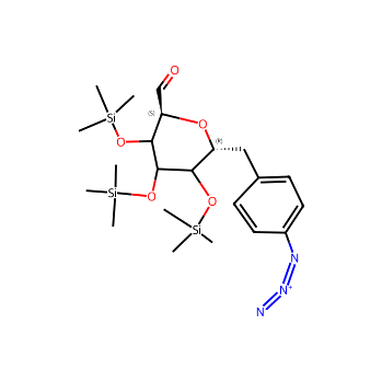 C[Si](C)(C)OC1C(O[Si](C)(C)C)[C@@H](C=O)O[C@H](Cc2ccc(N=[N+]=[N-])cc2)C1O[Si](C)(C)C